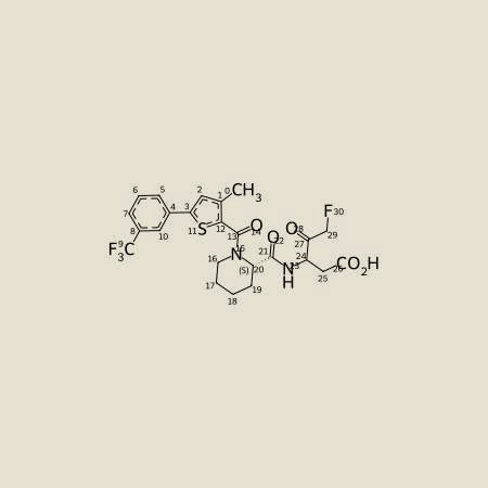 Cc1cc(-c2cccc(C(F)(F)F)c2)sc1C(=O)N1CCCC[C@H]1C(=O)NC(CC(=O)O)C(=O)CF